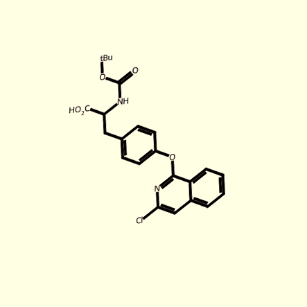 CC(C)(C)OC(=O)NC(Cc1ccc(Oc2nc(Cl)cc3ccccc23)cc1)C(=O)O